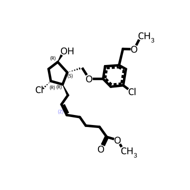 COCc1cc(Cl)cc(OC[C@@H]2[C@@H](C/C=C\CCCC(=O)OC)[C@H](Cl)C[C@H]2O)c1